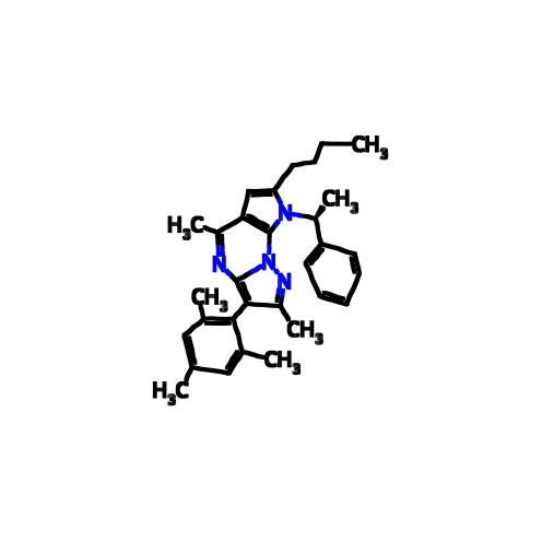 CCCCc1cc2c(C)nc3c(-c4c(C)cc(C)cc4C)c(C)nn3c2n1[C@@H](C)c1ccccc1